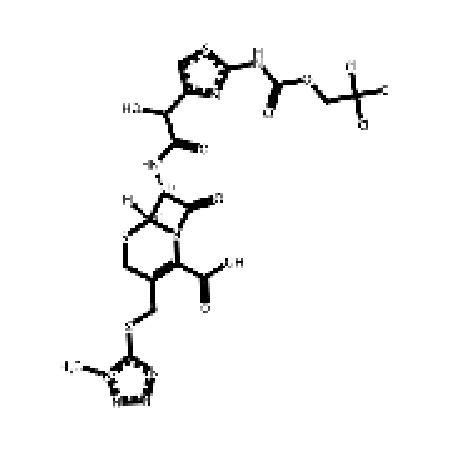 Cn1nnnc1SCC1=C(C(=O)O)N2C(=O)[C@@H](NC(=O)C(O)c3csc(NC(=O)OCC(Cl)(Cl)Cl)n3)[C@H]2SC1